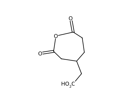 O=C(O)CC1CCC(=O)OC(=O)C1